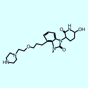 Cn1c(=O)n(C2CCC(O)NC2=O)c2cccc(CCCOCCN3CCNCC3)c21